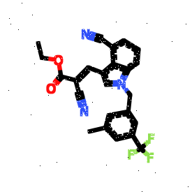 CCOC(=O)/C(C#N)=C/c1cn(Cc2cc(C)cc(C(F)(F)F)c2)c2cccc(C#N)c12